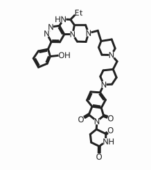 CCC1Nc2nnc(-c3ccccc3O)cc2N2CCN(CC3CCN(CC4CCN(c5ccc6c(c5)C(=O)N(C5CCC(=O)NC5=O)C6=O)CC4)CC3)CC12